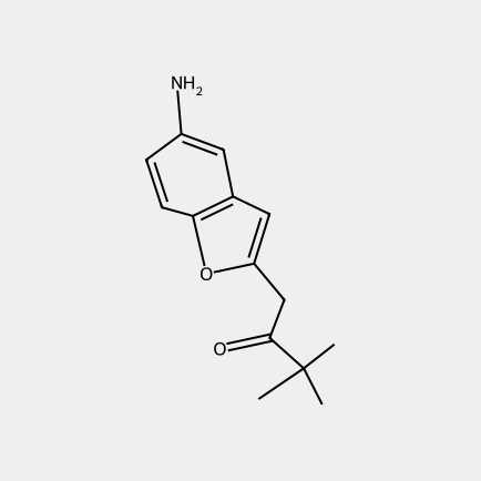 CC(C)(C)C(=O)Cc1cc2cc(N)ccc2o1